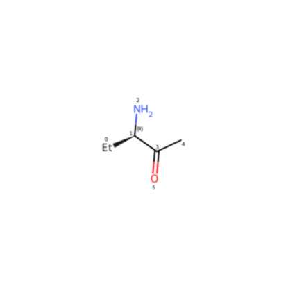 CC[C@@H](N)C(C)=O